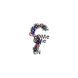 COc1cc(/C=C/C(=O)N2CCN(Cc3ccc(CCOc4ccc(F)cc4)cc3)CC2)cc(OC)c1Oc1ccc(OCc2ccc(C#N)cc2)cn1